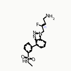 CNS(=O)(=O)c1cccc(-c2cccc3c2nnn3C/C(F)=C/CN)c1